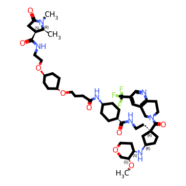 CO[C@@H]1COCC[C@@H]1N[C@@H]1CC[C@](CCNC(=O)[C@H]2CC[C@H](NC(=O)CCCO[C@H]3CC[C@H](OCCNC(=O)[C@H]4CC(=O)N(C)[C@@H]4C)CC3)CC2)(C(=O)N2CCc3ncc(C(F)(F)F)cc3C2)C1